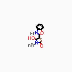 CCCN1C(=O)S/C(=C2\Oc3ccccc3N2CC)C1O